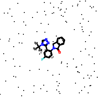 [2H]C([2H])([2H])n1cnnc1-c1cc(F)ccc1N1Cc2ccccc2C1=O